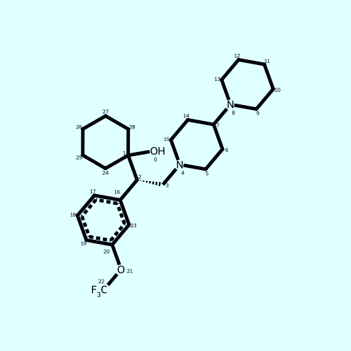 OC1([C@H](CN2CCC(N3CCCCC3)CC2)c2cccc(OC(F)(F)F)c2)CCCCC1